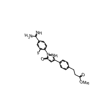 COC(=O)CCc1ccc(-c2cc(=O)n(-c3ccc(C(=N)N)cc3F)[nH]2)cc1